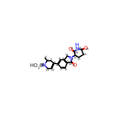 CC1CC(c2ccc3c(c2)CN(C2CCC(=O)NC2=O)C3=O)=CCN1C(=O)O